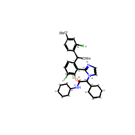 COc1ccc(C(OC)c2ccc(F)c(F)c2-c2nccn2C(C(=O)NC2CCCCC2)C2CCCCC2)c(F)c1